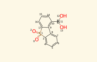 O=S1(=O)c2ccccc2-c2c(B(O)O)cccc21